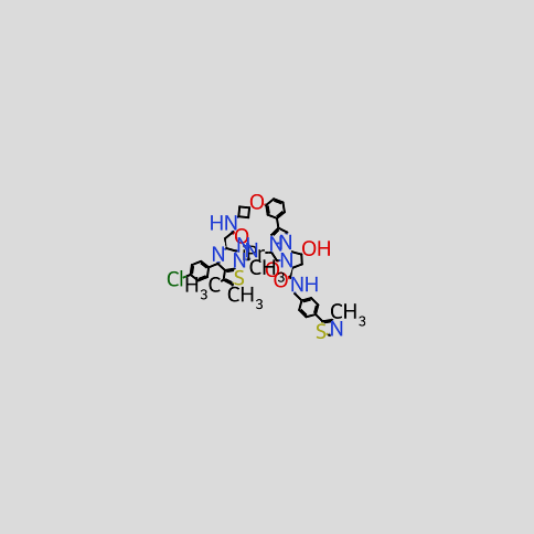 Cc1ncsc1-c1ccc(CNC(=O)[C@@H]2C[C@@H](O)CN2C(=O)C(C(C)C)n2cc(-c3cccc(O[C@H]4C[C@H](NC(=O)C[C@@H]5N=C(c6ccc(Cl)cc6)c6c(sc(C)c6C)-n6c(C)nnc65)C4)c3)cn2)cc1